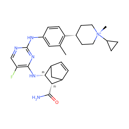 Cc1cc(Nc2ncc(F)c(N[C@@H]3C4C=CC(C4)[C@@H]3C(N)=O)n2)ccc1[C@H]1CC[N@@+](C)(C2CC2)CC1